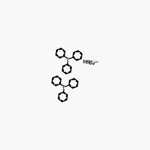 [BH4-].[BH4-].[Cu+2].c1ccc(P(c2ccccc2)c2ccccc2)cc1.c1ccc(P(c2ccccc2)c2ccccc2)cc1